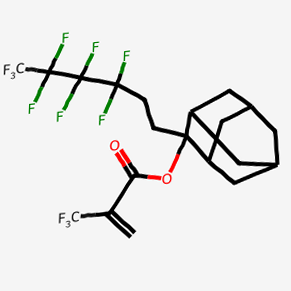 C=C(C(=O)OC1(CCC(F)(F)C(F)(F)C(F)(F)C(F)(F)F)C2CC3CC(C2)CC1C3)C(F)(F)F